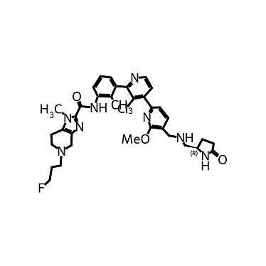 COc1nc(-c2ccnc(-c3cccc(NC(=O)c4nc5c(n4C)CCN(CCCF)C5)c3C)c2Cl)ccc1CNC[C@H]1CCC(=O)N1